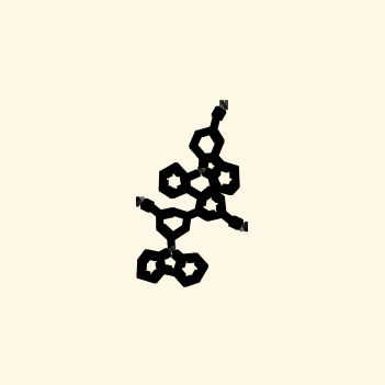 N#CC1=CC(c2cc(C#N)ccc2-c2ccccc2-n2c3c(c4ccccc42)C=C(C#N)CC3)CC(n2c3ccccc3c3ccccc32)=C1